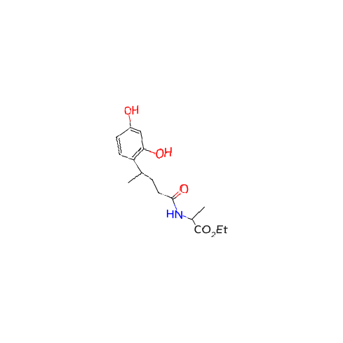 CCOC(=O)C(C)NC(=O)CCC(C)c1ccc(O)cc1O